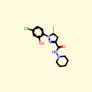 O=C(NN1CCCCC1)C1=NN(c2ccc(Cl)cc2O)[C@H](I)C1